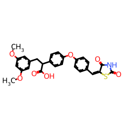 COc1cc(CC(C(=O)O)c2ccc(Oc3ccc(/C=C4/SC(=O)NC4=O)cc3)cc2)cc(OC)c1